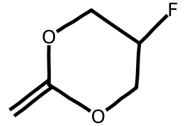 C=C1OCC(F)CO1